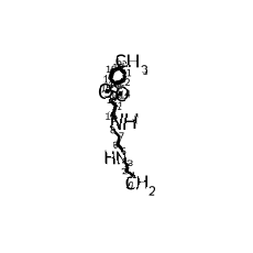 C=CCCNCCCCNCCCS(=O)(=O)c1ccc(C)cc1